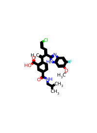 C=C(/C(=C\C=C/Cl)c1nc2cc(F)c(OC)cc2[nH]1)c1ccc(C(=O)NCC(C)C)cc1C(=O)O